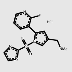 CNCc1cc(-c2cccnc2F)n(S(=O)(=O)c2nccs2)c1.Cl